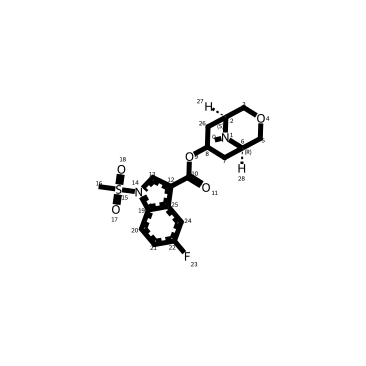 CN1[C@@H]2COC[C@H]1CC(OC(=O)c1cn(S(C)(=O)=O)c3ccc(F)cc13)C2